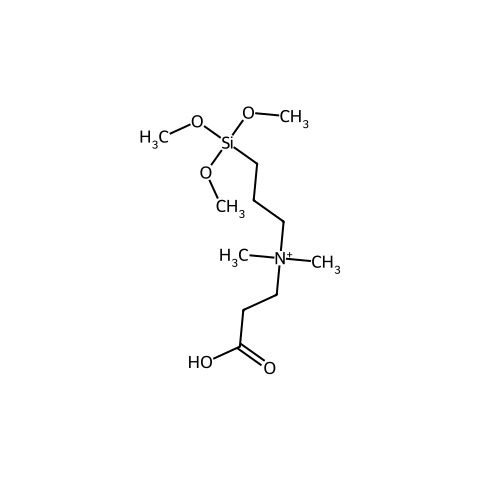 CO[Si](CCC[N+](C)(C)CCC(=O)O)(OC)OC